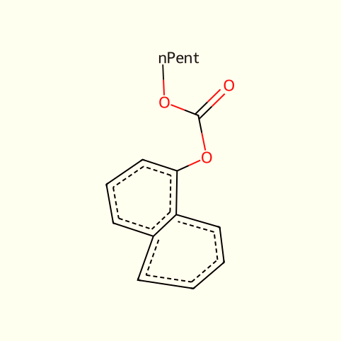 CCCCCOC(=O)Oc1cccc2ccccc12